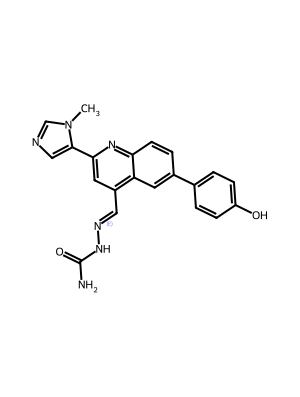 Cn1cncc1-c1cc(/C=N/NC(N)=O)c2cc(-c3ccc(O)cc3)ccc2n1